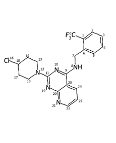 FC(F)(F)c1ccccc1CNc1nc(N2CCC(Cl)CC2)nc2ncccc12